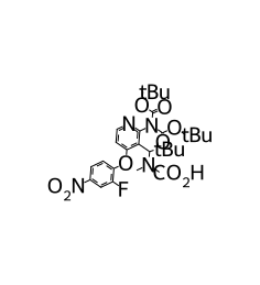 CN(C(=O)O)C(c1c(Oc2ccc([N+](=O)[O-])cc2F)ccnc1N(C(=O)OC(C)(C)C)C(=O)OC(C)(C)C)C(C)(C)C